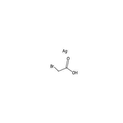 O=C(O)CBr.[Ag]